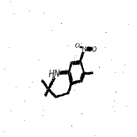 Cc1cc2c(cc1[N+](=O)[O-])NC(C)(C)CC2